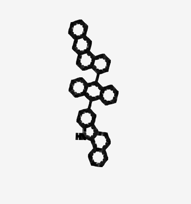 c1ccc2cc3c(ccc4c(-c5c6ccccc6c(-c6ccc7[nH]c8c9ccccc9ccc8c7c6)c6ccccc56)cccc43)cc2c1